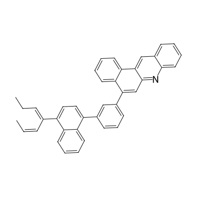 C/C=C\C(=C/CC)c1ccc(-c2cccc(-c3cc4nc5ccccc5cc4c4ccccc34)c2)c2ccccc12